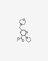 COC(=O)c1cc(CN2CCOCC2)cnc1N1CCCC1